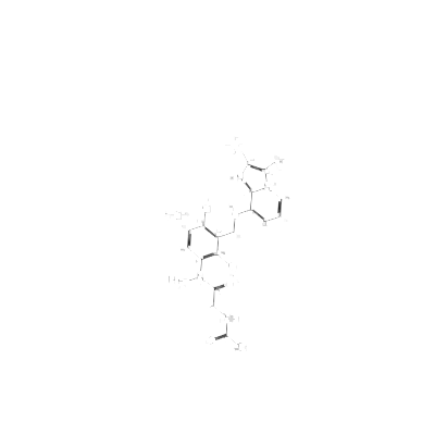 CCC(=S)NCC(=O)N(C)c1ccc(Cl)c(COc2cccn3c(Br)c(C)nc23)c1Cl.Cl